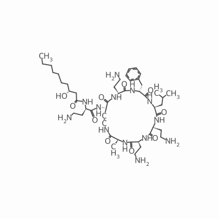 CCCCCCC[C@@H](O)CC(=O)N[C@H](CCN)C(=O)N[C@H]1CCNC(=O)[C@H](C)NC(=O)[C@H](CCN)NC(=O)[C@H](CCN)NC(=O)[C@H](CC(C)C)NC(=O)[C@@H](Cc2ccccc2)NC(=O)[C@H](CCN)NC1=O